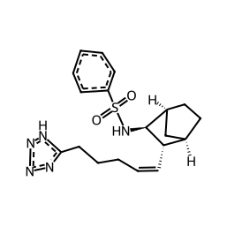 O=S(=O)(N[C@H]1[C@H]2CC[C@H](C2)[C@@H]1/C=C\CCCc1nnn[nH]1)c1ccccc1